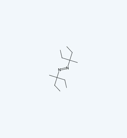 CCC(C)(CC)/N=N/C(C)(CC)CC